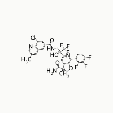 Cc1cnc2c(Cl)cc(C(=O)NC[C@](O)(c3cc4c(c(-c5ccc(F)c(F)c5F)n3)OC[C@]4(C)C(N)=O)C(F)(F)F)cc2c1